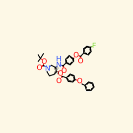 CC(C)(C)OC(=O)N1CCC[C@@H](OC(=O)c2ccc(OCc3ccccc3)cc2)[C@H](NC(=O)c2ccc(OC(=O)c3ccc(F)cc3)cc2)C1